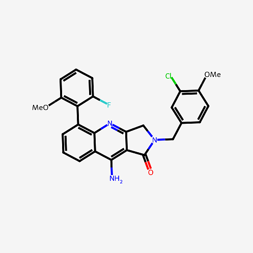 COc1ccc(CN2Cc3nc4c(-c5c(F)cccc5OC)cccc4c(N)c3C2=O)cc1Cl